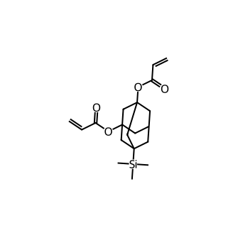 C=CC(=O)OC12CC3CC(OC(=O)C=C)(C1)CC([Si](C)(C)C)(C3)C2